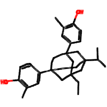 CCC12CC3(c4ccc(O)c(C)c4)CC(c4ccc(O)c(C)c4)(C1)CC(C(C)C)(C2)C3